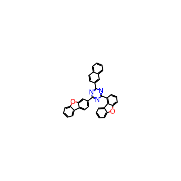 c1ccc2cc(-c3nc(-c4ccc5c(c4)oc4ccccc45)nc(-c4cccc5oc6ccccc6c45)n3)ccc2c1